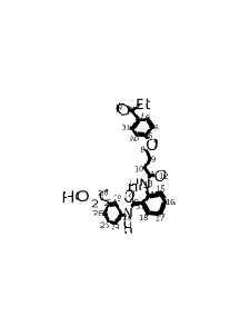 CCC(=O)c1ccc(OCCCC(=O)Nc2ccccc2C(=O)Nc2cccc(C(=O)O)c2)cc1